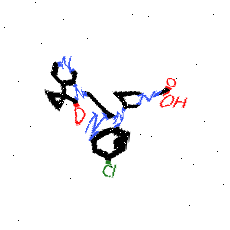 O=C(O)N1CCC(n2c(CN3C(=O)C4(CC4)c4ccncc43)nc3cc(Cl)ccc32)C1